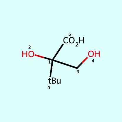 CC(C)(C)C(O)(CO)C(=O)O